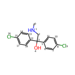 CNCC(O)(c1ccc(Cl)cc1)c1ccc(Cl)cc1